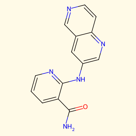 NC(=O)c1cccnc1Nc1cnc2ccncc2c1